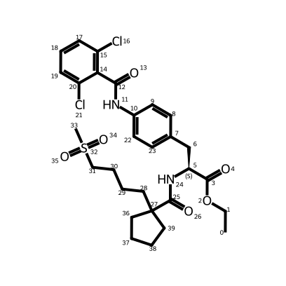 CCOC(=O)[C@H](Cc1ccc(NC(=O)c2c(Cl)cccc2Cl)cc1)NC(=O)C1(CCCCS(C)(=O)=O)CCCC1